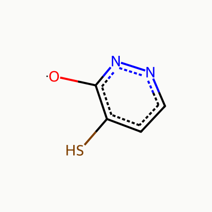 [O]c1nnccc1S